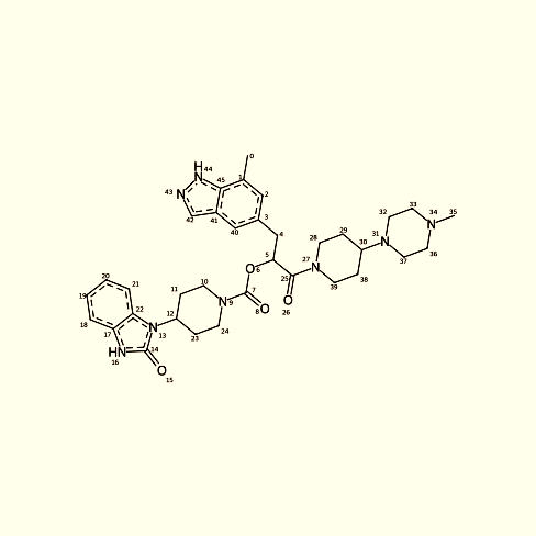 Cc1cc(CC(OC(=O)N2CCC(n3c(=O)[nH]c4ccccc43)CC2)C(=O)N2CCC(N3CCN(C)CC3)CC2)cc2cn[nH]c12